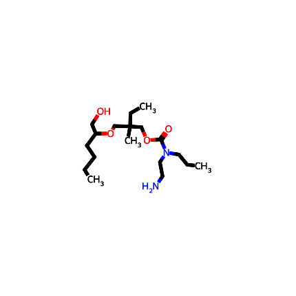 CCCCC(CO)OCC(C)(CC)COC(=O)N(CCC)CCN